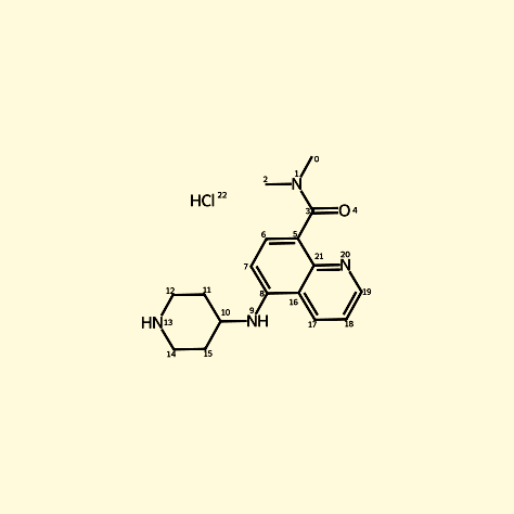 CN(C)C(=O)c1ccc(NC2CCNCC2)c2cccnc12.Cl